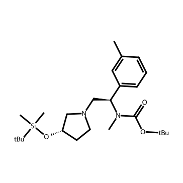 Cc1cccc([C@H](CN2CC[C@H](O[Si](C)(C)C(C)(C)C)C2)N(C)C(=O)OC(C)(C)C)c1